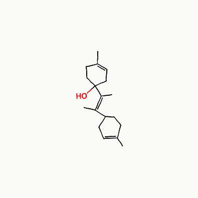 CC1=CCC(/C(C)=C(\C)C2(O)CC=C(C)CC2)CC1